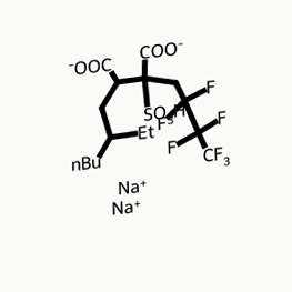 CCCCC(CC)CC(C(=O)[O-])C(CC(F)(F)C(F)(F)C(F)(F)F)(C(=O)[O-])S(=O)(=O)O.[Na+].[Na+]